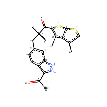 Cc1csc2sc(C(=O)C(C)(C)Cc3ccc4c(C(=O)C(C)(C)C)n[nH]c4c3)c(C)c12